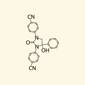 N#Cc1ccc(N2CC(O)(c3ccccc3)N(c3ccc(C#N)cc3)C2=O)cc1